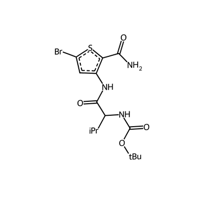 CC(C)C(NC(=O)OC(C)(C)C)C(=O)Nc1cc(Br)sc1C(N)=O